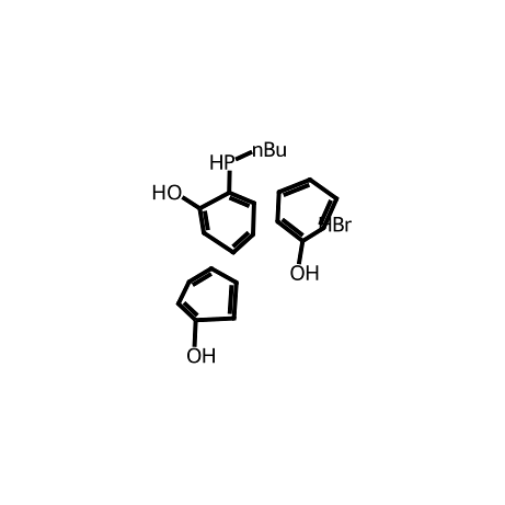 Br.CCCCPc1ccccc1O.Oc1ccccc1.Oc1ccccc1